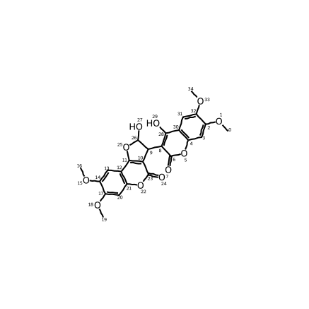 COc1cc2oc(=O)c(C3c4c(c5cc(OC)c(OC)cc5oc4=O)OC3O)c(O)c2cc1OC